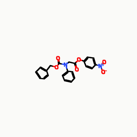 O=C(CN(C(=O)OCc1ccccc1)c1ccccc1)Oc1ccc([N+](=O)[O-])cc1